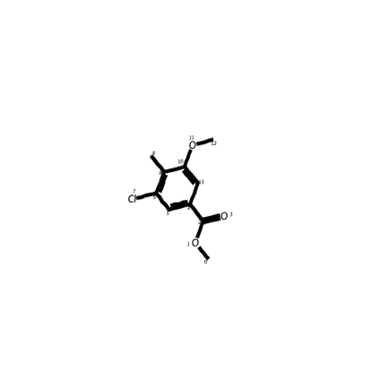 COC(=O)c1cc(Cl)c(C)c(OC)c1